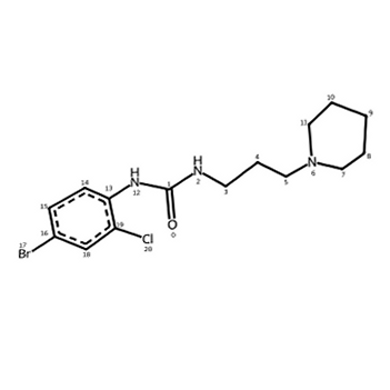 O=C(NCCCN1CCCCC1)Nc1ccc(Br)cc1Cl